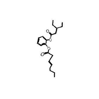 CCCCCCC(=O)Oc1ccccc1OC(=O)CC(CC)CC